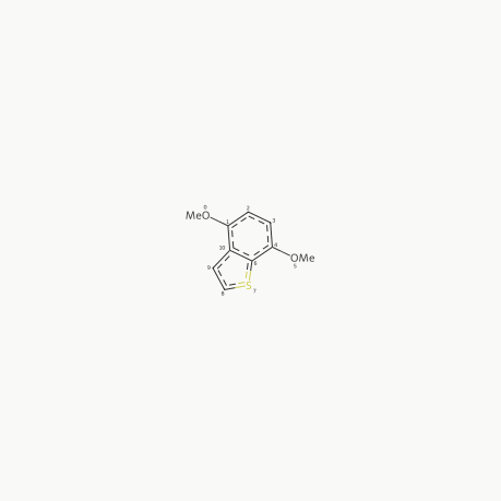 COc1ccc(OC)c2sccc12